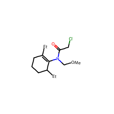 CCC1=C(N(COC)C(=O)CCl)C(CC)CCC1